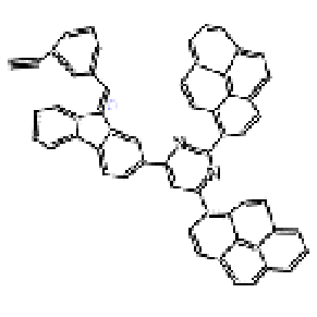 C#Cc1cccc(/C=C2\c3ccccc3-c3ccc(-c4cc(-c5ccc6ccc7cccc8ccc5c6c78)nc(-c5ccc6ccc7cccc8ccc5c6c78)n4)cc32)c1